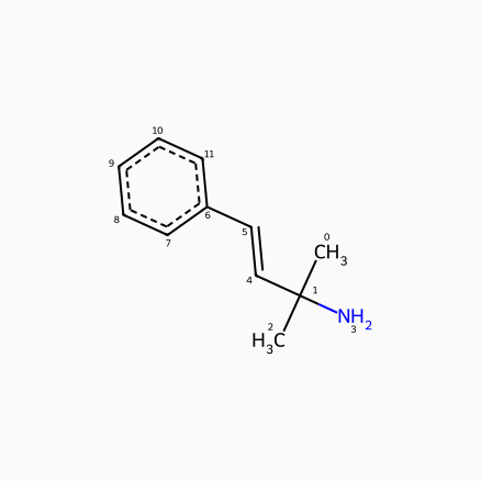 CC(C)(N)C=Cc1ccccc1